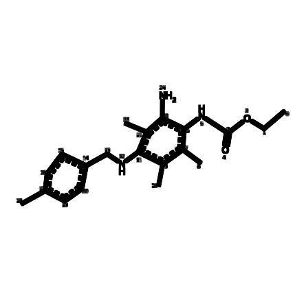 CCOC(=O)Nc1c(C)c(C)c(NCc2ccc(C)cc2)c(C)c1N